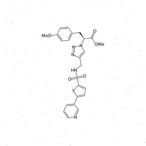 COC(=O)[C@H](Cc1ccc(OC)cc1)n1cc(CNS(=O)(=O)c2ccc(-c3cccnc3)s2)nn1